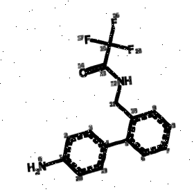 Nc1ccc(-c2ccccc2CNC(=O)C(F)(F)F)cc1